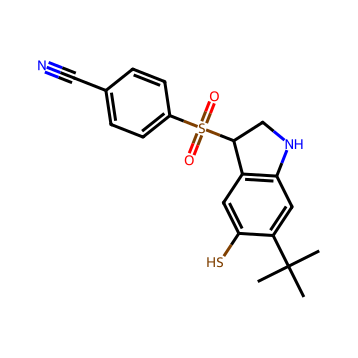 CC(C)(C)c1cc2c(cc1S)C(S(=O)(=O)c1ccc(C#N)cc1)CN2